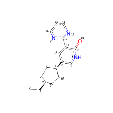 CC[C@H]1CC[C@@H](c2c[nH]c(=O)c(-c3ncccn3)c2)CC1